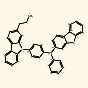 CCCc1ccc2c3ccccc3n(-c3ccc(N(c4ccccc4)c4ccc5c(c4)sc4ccccc45)cc3)c2c1